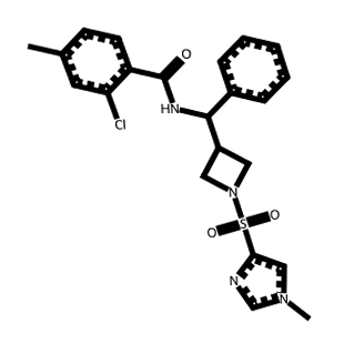 Cc1ccc(C(=O)NC(c2ccccc2)C2CN(S(=O)(=O)c3cn(C)cn3)C2)c(Cl)c1